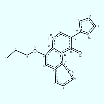 CCCOc1cc2ccccc2c2c(=O)c(-c3cccs3)c[nH]c12